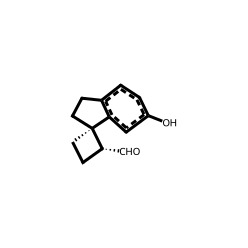 O=C[C@@H]1CC[C@@]12CCc1ccc(O)cc12